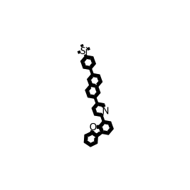 C[Si](C)(C)c1ccc(-c2ccc3cc(-c4ccc(-c5cccc6c5oc5ccccc56)nc4)ccc3c2)cc1